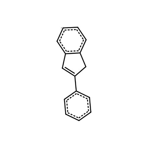 [c]1ccc2c(c1)C=C(c1ccccc1)C2